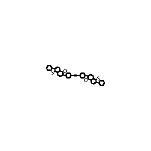 C(#Cc1ccc2c(c1)oc1c2ccc2c1ccc1c3ccccc3sc12)c1ccc2c(c1)oc1c2ccc2c1ccc1c3ccccc3sc12